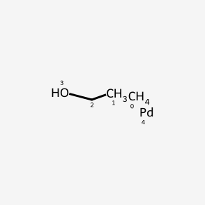 C.CCO.[Pd]